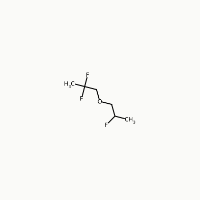 CC(F)COCC(C)(F)F